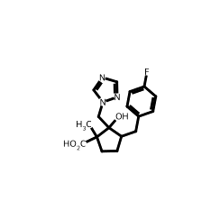 CC1(C(=O)O)CCC(Cc2ccc(F)cc2)C1(O)Cn1cncn1